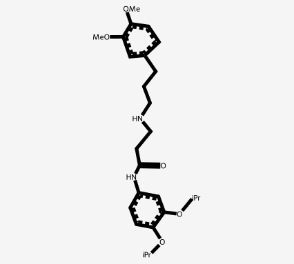 COc1ccc(CCCNCCC(=O)Nc2ccc(OC(C)C)c(OC(C)C)c2)cc1OC